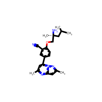 Cc1cc(-c2ccc(OC[C@@](C)(N)CC(C)C)c(C#N)c2)n2nc(C)cc2n1